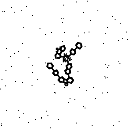 c1ccc(-c2ccc(-c3ccc4oc5cccc(-c6ccc7cc(-c8nc(-c9ccc(-c%10ccccc%10)cc9)nc(-c9cccc%10sc%11ccccc%11c9%10)n8)ccc7c6)c5c4c3)cc2)cc1